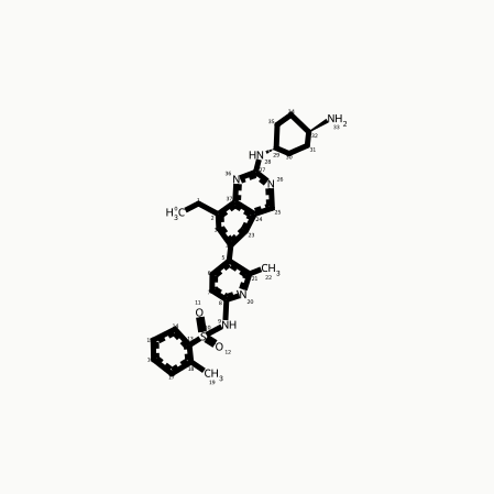 CCc1cc(-c2ccc(NS(=O)(=O)c3ccccc3C)nc2C)cc2cnc(N[C@H]3CC[C@H](N)CC3)nc12